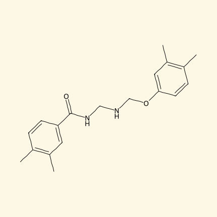 Cc1ccc(OCNCNC(=O)c2ccc(C)c(C)c2)cc1C